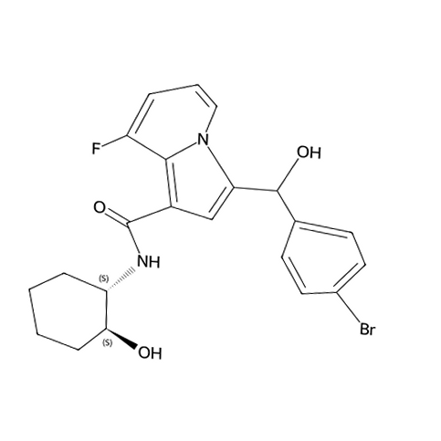 O=C(N[C@H]1CCCC[C@@H]1O)c1cc(C(O)c2ccc(Br)cc2)n2cccc(F)c12